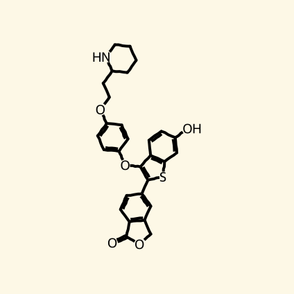 O=C1OCc2cc(-c3sc4cc(O)ccc4c3Oc3ccc(OCCC4CCCCN4)cc3)ccc21